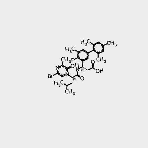 Cc1cc(C)c(-c2cc(C)c(F)c([C@H](CC(=O)O)NC(=O)[C@H](CC(C)C)n3cc(Br)nc(C)c3=O)c2)c(C)c1